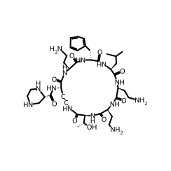 CC(C)C[C@@H]1NC(=O)[C@@H](Cc2ccccc2)NC(=O)[C@H](CCN)NC(=O)[C@@H](NC(=O)[C@@H]2CNCCN2)CCNC(=O)[C@H]([C@@H](C)O)NC(=O)[C@H](CCN)NC(=O)[C@H](CCN)NC1=O